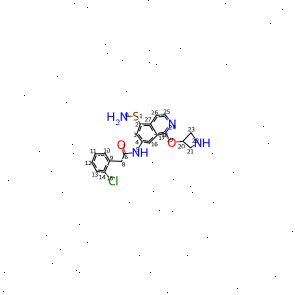 NSc1cc(NC(=O)Cc2ccccc2Cl)cc2c(OC3CNC3)nccc12